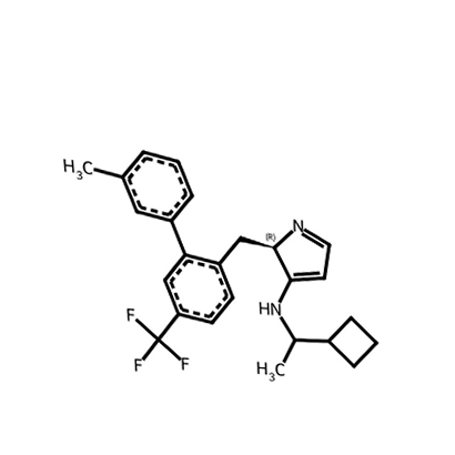 Cc1cccc(-c2cc(C(F)(F)F)ccc2C[C@H]2N=CC=C2NC(C)C2CCC2)c1